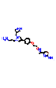 C/C(=N\OCCOc1ccc(-c2cn(CCCN)[n+](CC3CNC3)c2)cc1)c1csc(N)n1